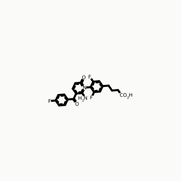 Nc1c(C(=O)c2ccc(F)cc2)ccc(=O)n1-c1c(F)cc(CCCC(=O)O)cc1F